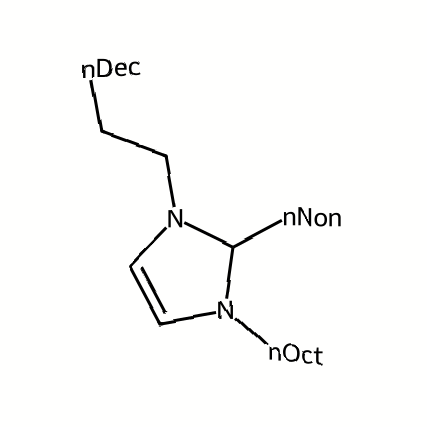 CCCCCCCCCCCCN1C=CN(CCCCCCCC)C1CCCCCCCCC